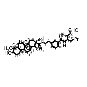 CCCC1(C(=O)NCCc2cccc(C(=O)NC(CC(C)C)[C@@H](O)CC=O)c2)CC[C@]2(C)C(CCC3C4(C)CCC(O)C(C)(C)C4CCC32C)C1C